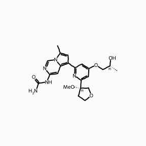 CO[C@@]1(c2cc(OC[C@@H](C)O)cc(-c3cc(C)n4cnc(NC(N)=O)cc34)n2)CCOC1